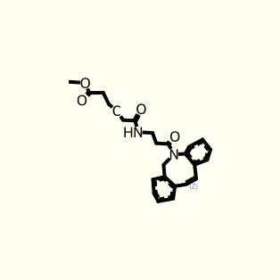 COC(=O)CCCCC(=O)NCCC(=O)N1Cc2ccccc2/C=C\c2ccccc21